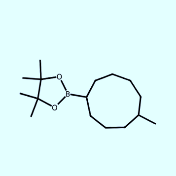 CC1CCCCC(B2OC(C)(C)C(C)(C)O2)CCC1